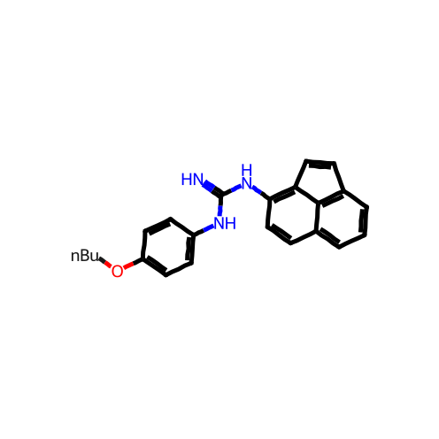 CCCCOc1ccc(NC(=N)Nc2ccc3cccc4c3c2C=C4)cc1